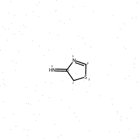 N=C1CS[C]=N1